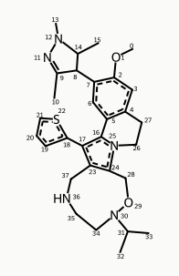 COc1cc2c(cc1C1C(C)=NN(C)C1C)-c1c(-c3cccs3)c3c(n1CC2)CON(C(C)C)CCNC3